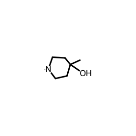 CC1(O)CC[N]CC1